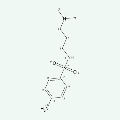 CN(C)CCCNS(=O)(=O)c1ccc(N)cc1